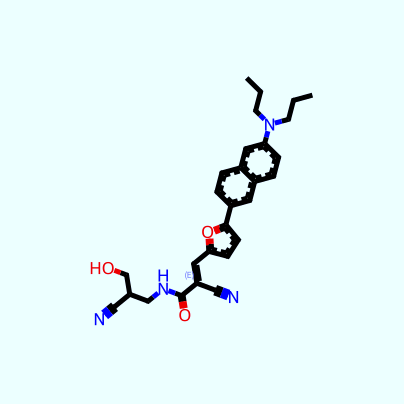 CCCN(CCC)c1ccc2cc(-c3ccc(/C=C(\C#N)C(=O)NCC(C#N)CO)o3)ccc2c1